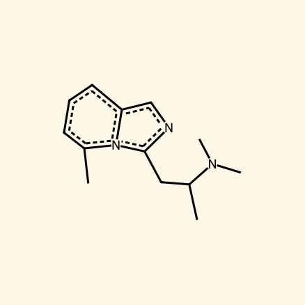 Cc1cccc2cnc(CC(C)N(C)C)n12